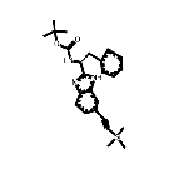 CC(C)(C)OC(=O)N[C@@H](Cc1ccccc1)c1nc2ccc(C#C[Si](C)(C)C)cc2[nH]1